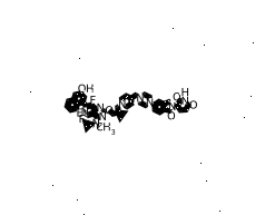 CCc1cccc2cc(O)cc(-c3ncc4c(N(C)[C@@H]5C[C@H]5F)nc(OCC5(CN6CCC(CN7CCN(c8ccc9c(c8)CN([C@H]8CCC(=O)NC8=O)C9=O)CC7)CC6)CC5)nc4c3F)c12